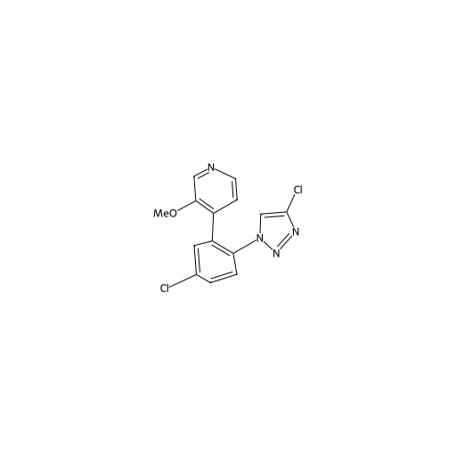 COc1cnccc1-c1cc(Cl)ccc1-n1cc(Cl)nn1